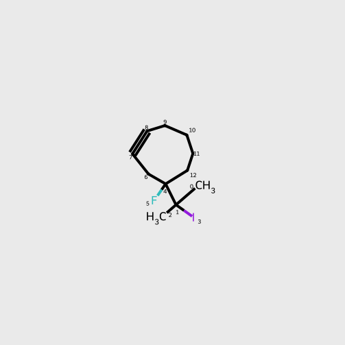 CC(C)(I)C1(F)CC#CCCCC1